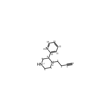 C#CCCN1CCNCC1c1ccccn1